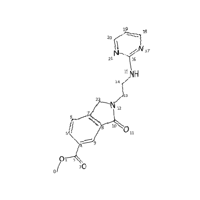 COC(=O)c1ccc2c(c1)C(=O)N(CCNc1ncccn1)C2